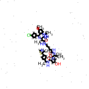 COc1ccc2c(c1)C(c1ccc(Cl)cc1)=N[C@@H]([C@@H](C)C(=O)NCCCCCC(=O)N[C@H](C(=O)N1C[C@H](O)C[C@H]1C(=O)N[C@@H](C)c1ccc(-c3scnc3C)cc1)C(C)(C)C)c1nnc(C)n1-2